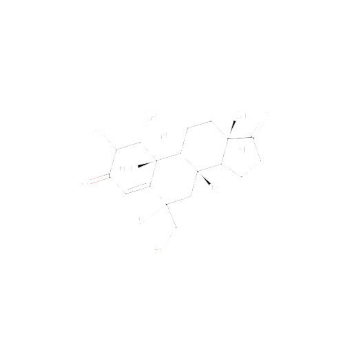 C[C@H]1C(Br)C(=O)C=C2C(Br)(CBr)C[C@@H]3[C@H](CC[C@]4(C)C(=O)CC[C@@H]34)[C@]21C